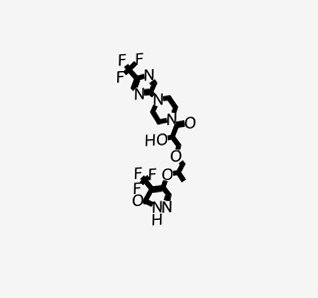 CC(COCC(O)C(=O)N1CCN(c2cnc(C(F)(F)F)cn2)CC1)Oc1cn[nH]c(=O)c1C(F)(F)F